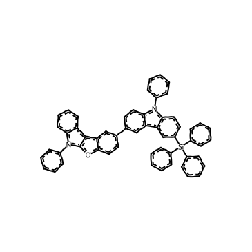 c1ccc(-n2c3ccc(-c4ccc5oc6c(c5c4)c4ccccc4n6-c4ccccc4)cc3c3cc([Si](c4ccccc4)(c4ccccc4)c4ccccc4)ccc32)cc1